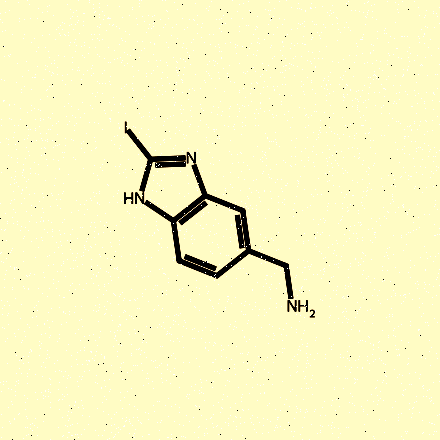 NCc1ccc2[nH]c(I)nc2c1